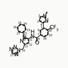 Cn1ccc(-c2cc(C(=O)Nc3cc(Cn4ncnn4)nn3-c3ccccc3)ccc2C(F)(F)F)n1